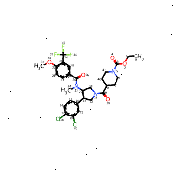 CCOC(=O)N1CCC(C(=O)N2CC(c3ccc(Cl)c(Cl)c3)C(N(C)C(=O)c3ccc(OC)c(C(F)(F)F)c3)C2)CC1